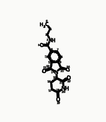 CCCNC(=O)c1ccc2c(c1)C(=O)N(C1CCC(=O)NC1=O)C2=O